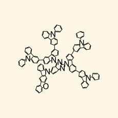 c1ccc(-n2c3ccccc3c3cc(-c4ccc5c(c4)c4cc(-c6ccc7c(c6)c6ccccc6n7-c6ccccc6)ccc4n5-c4nc(-n5c6ccc(-c7ccc8c(c7)c7ccccc7n8-c7ccccc7)cc6c6cc(-c7ccc8c(c7)c7ccccc7n8-c7ccccc7)ccc65)c5cc(-n6c7ccccc7c7cc8c(cc76)oc6ccccc68)ccc5n4)ccc32)cc1